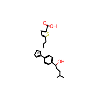 CC(C)CCC(O)c1ccc(C2=CCC[C@@H]2CCCc2ccc(C(=O)O)s2)cc1